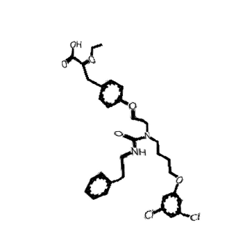 CCOC(Cc1ccc(OCCN(CCCCOc2cc(Cl)cc(Cl)c2)C(=O)NCCc2ccccc2)cc1)C(=O)O